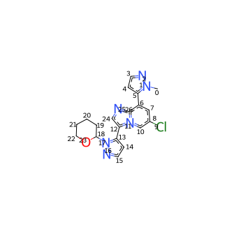 Cn1nccc1-c1cc(Cl)cn2c(-c3ccnn3C3CCCCO3)cnc12